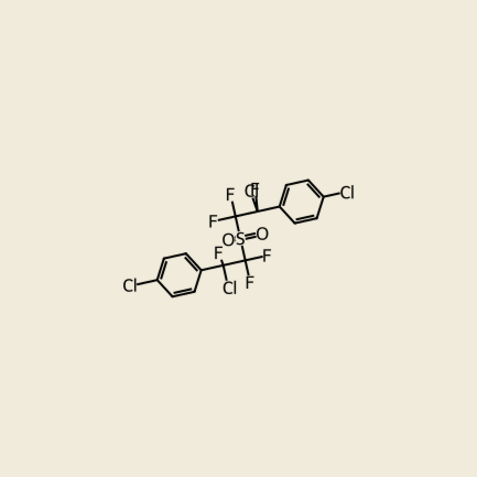 O=S(=O)(C(F)(F)C(F)(Cl)c1ccc(Cl)cc1)C(F)(F)C(F)(Cl)c1ccc(Cl)cc1